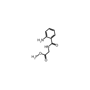 Nc1ccccc1C(=O)NCC(=O)OP